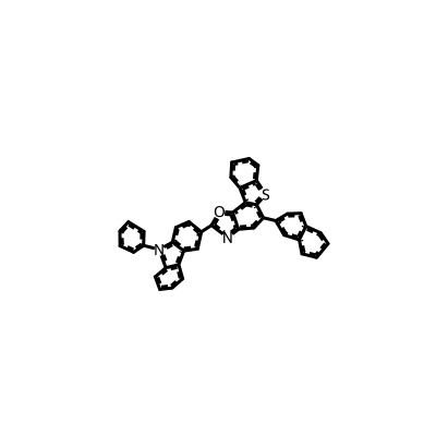 c1ccc(-n2c3ccccc3c3cc(-c4nc5cc(-c6ccc7ccccc7c6)c6sc7ccccc7c6c5o4)ccc32)cc1